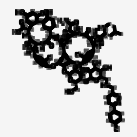 CN[C@H](CC(C)C)C(=O)NC1C(=O)N[C@@H](CC(N)=O)C(=O)N[C@H]2C(=O)N[C@H]3C(=O)N[C@H](C(=O)N[C@@H](C(=O)O)c4cc(O)cc(O)c4-c4cc3ccc4O)[C@H](O)c3ccc(c(Cl)c3)Oc3cc2cc(c3O[C@@H]2O[C@H](CO)[C@@H](O[C@@H]3O[C@H](CNCc4ccc(-c5ccc(Cl)cc5)nn4)[C@H](O)[C@H](O)[C@H]3O)[C@H](O)[C@H]2O)Oc2ccc(cc2Cl)[C@H]1O